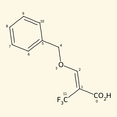 O=C(O)/C(=C/OCc1ccccc1)C(F)(F)F